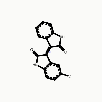 O=C1Nc2ccccc2/C1=C1\C(=O)Nc2ccc(Cl)cc21